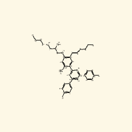 CCCCCCc1cc(-c2nc(-c3ccc(C)cc3)nc(-c3ccc(C)cc3)n2)c(O)cc1OCC(O)COCCCC